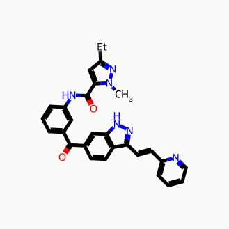 CCc1cc(C(=O)Nc2cccc(C(=O)c3ccc4c(/C=C/c5ccccn5)n[nH]c4c3)c2)n(C)n1